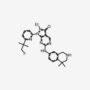 CCn1c(=O)c2cnc(Nc3ccc4c(c3)CNCC4(C)C)nc2n1-c1cccc(C(C)(C)CF)n1